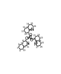 c1ccc2cc([O][Al]([O]c3cccc4cccnc34)[O]c3cccc4cccnc34)ncc2c1